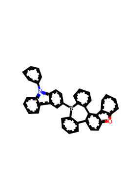 c1ccc(-n2c3ccccc3c3cc(B4c5ccccc5-c5ccc6oc7ccccc7c6c5-c5ccccc54)ccc32)cc1